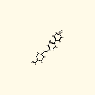 C=CC1CCC(CCc2ccc(-c3ccc(Cl)cc3)nc2)CC1